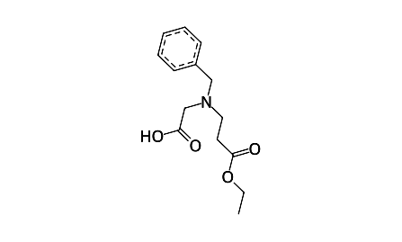 CCOC(=O)CCN(CC(=O)O)Cc1ccccc1